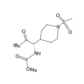 COC(=O)N[C@H](C(=O)C(C)(C)C)C1CCN(S(C)(=O)=O)CC1